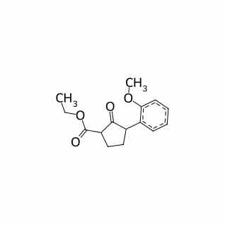 CCOC(=O)C1CCC(c2ccccc2OC)C1=O